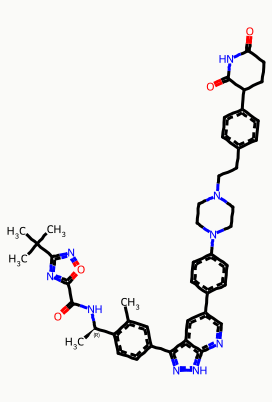 Cc1cc(-c2n[nH]c3ncc(-c4ccc(N5CCN(CCc6ccc(C7CCC(=O)NC7=O)cc6)CC5)cc4)cc23)ccc1[C@@H](C)NC(=O)c1nc(C(C)(C)C)no1